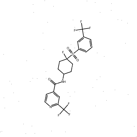 O=C(NC1CCC(F)(S(=O)(=O)c2cccc(C(F)(F)F)c2)CC1)c1ccnc(C(F)(F)F)c1